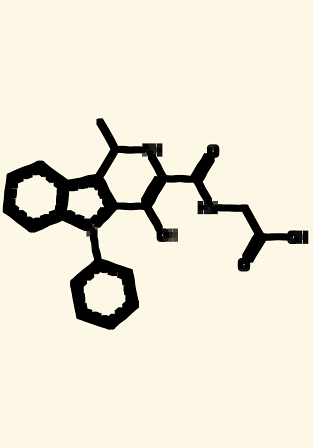 CC1NC(C(=O)NCC(=O)O)=C(O)c2c1c1ccccc1n2-c1ccccc1